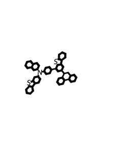 c1ccc2c(c1)CC(c1cc(-c3ccc(N(c4ccc5ccccc5c4)c4ccc5c(c4)sc4ccccc45)cc3)c3sc4ccccc4c3c1)c1ccccc1-2